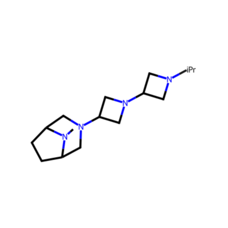 CC(C)N1CC(N2CC(N3CC4CCC(C3)N4C)C2)C1